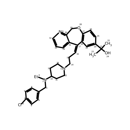 CCN(Cc1ccc(Cl)cc1)C1CCN(CCC=C2c3cc(C(C)(C)O)ccc3OCc3ncccc32)CC1